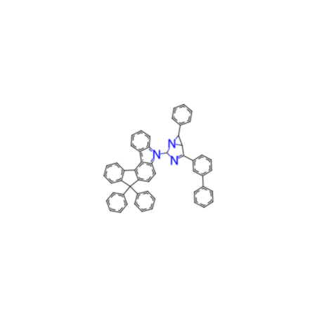 c1ccc(-c2cccc(C3=NC(n4c5ccccc5c5c6c(ccc54)C(c4ccccc4)(c4ccccc4)c4ccccc4-6)N4C3C4c3ccccc3)c2)cc1